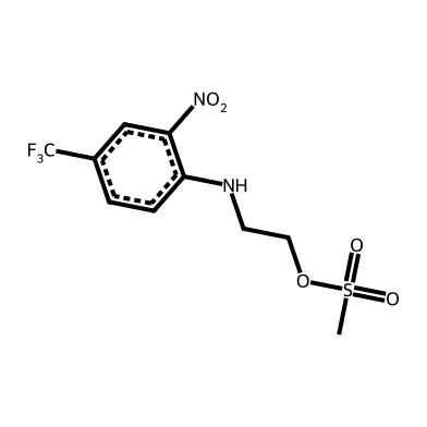 CS(=O)(=O)OCCNc1ccc(C(F)(F)F)cc1[N+](=O)[O-]